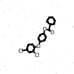 O=C(Oc1ccc(Oc2ccc(Cl)cc2Cl)cc1)c1ccccc1